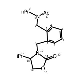 CCCN(Cc1ccccc1CN1C(=O)OCC1C(C)C)C(C)=O